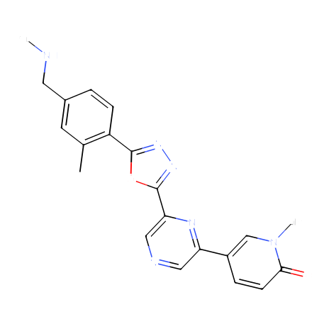 Cc1cc(CNC(C)(C)C)ccc1-c1nnc(-c2cncc(-c3ccc(=O)n(C(C)C)c3)n2)o1